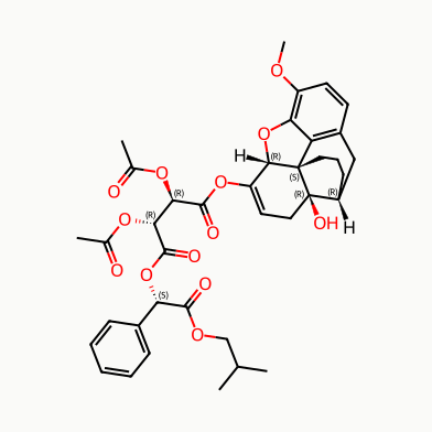 COc1ccc2c3c1O[C@H]1C(OC(=O)[C@H](OC(C)=O)[C@@H](OC(C)=O)C(=O)O[C@H](C(=O)OCC(C)C)c4ccccc4)=CC[C@@]4(O)[C@H](CCC[C@]314)C2